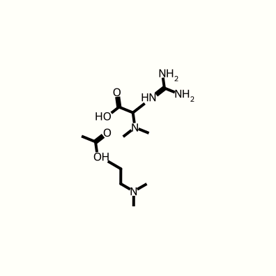 CC(=O)O.CC(C(=O)O)N(C)C.CCCN(C)C.N=C(N)N